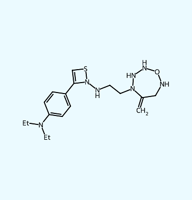 C=C1CNONNN1CCNn1scc1-c1ccc(N(CC)CC)cc1